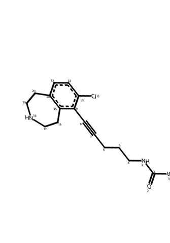 CC(C)(C)C(=O)NCCCC#Cc1c(Cl)ccc2c1CCNCC2